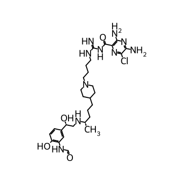 C[C@H](CCCC1CCN(CCCCNC(=N)NC(=O)c2nc(Cl)c(N)nc2N)CC1)NC[C@H](O)c1ccc(O)c(NC=O)c1